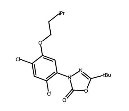 CC(C)CCOc1cc(-n2nc(C(C)(C)C)oc2=O)c(Cl)cc1Cl